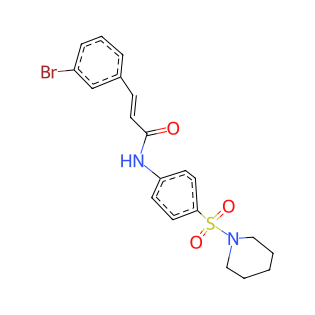 O=C(/C=C/c1cccc(Br)c1)Nc1ccc(S(=O)(=O)N2CCCCC2)cc1